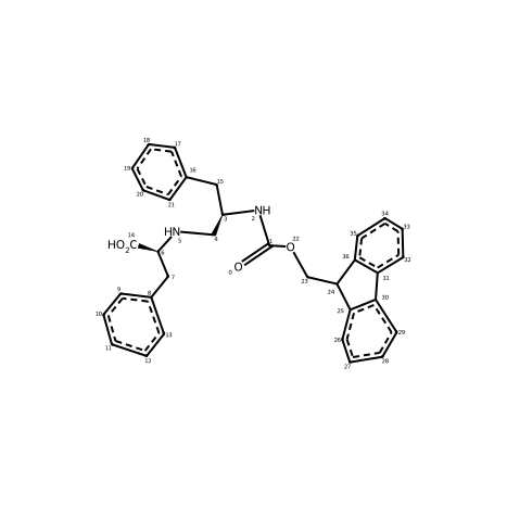 O=C(N[C@@H](CN[C@@H](Cc1ccccc1)C(=O)O)Cc1ccccc1)OCC1c2ccccc2-c2ccccc21